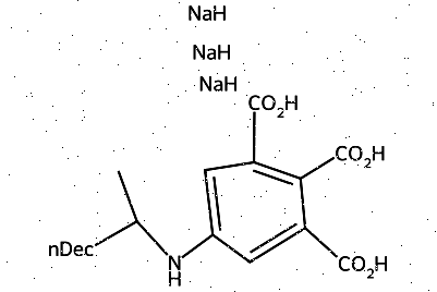 CCCCCCCCCCC(C)Nc1cc(C(=O)O)c(C(=O)O)c(C(=O)O)c1.[NaH].[NaH].[NaH]